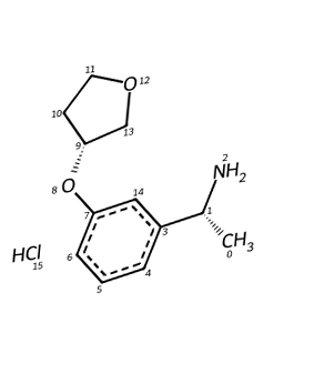 C[C@@H](N)c1cccc(O[C@@H]2CCOC2)c1.Cl